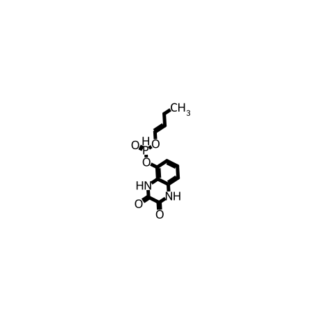 CCC=CO[PH](=O)Oc1cccc2[nH]c(=O)c(=O)[nH]c12